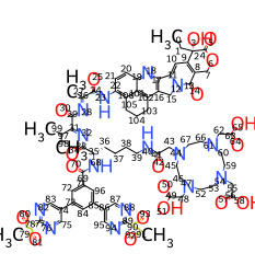 CC[C@@]1(O)C(=O)OCc2c1cc1n(c2=O)Cc2c-1nc1ccc(NC(=O)C(C)=NC(=O)C(=NC(=O)[C@H](CCCCNC(=O)CN3CCN(CC(=O)O)CCN(CC(=O)O)CCN(CC(=O)O)CC3)NC(=O)c3cc(-c4cnc(S(C)(=O)=O)nc4)cc(-c4cnc(S(C)(=O)=O)nc4)c3)C(C)C)c3c1c2CCC3